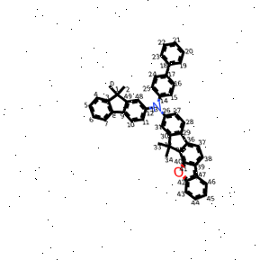 CC1(C)c2ccccc2-c2ccc(N(c3ccc(-c4ccccc4)cc3)c3ccc4c(c3)C(C)(C)c3c-4ccc4c3oc3ccccc34)cc21